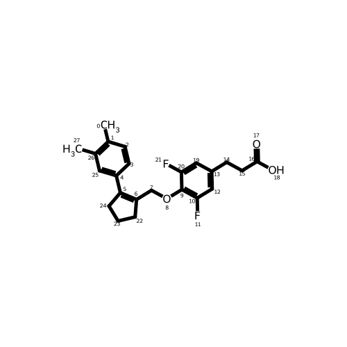 Cc1ccc(C2=C(COc3c(F)cc(CCC(=O)O)cc3F)CCC2)cc1C